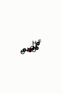 COc1cccc(CC[N+]23CCC(CC2)C(OC(=O)Nc2ccccc2Cc2ccc(F)cc2)C3)c1